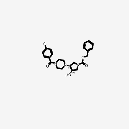 O=C(OCc1ccccc1)N1C[C@@H](O)[C@H](N2CCN(C(=O)c3ccc(Cl)cc3)CC2)C1